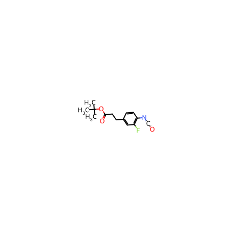 CC(C)(C)OC(=O)CCc1ccc(N=C=O)c(F)c1